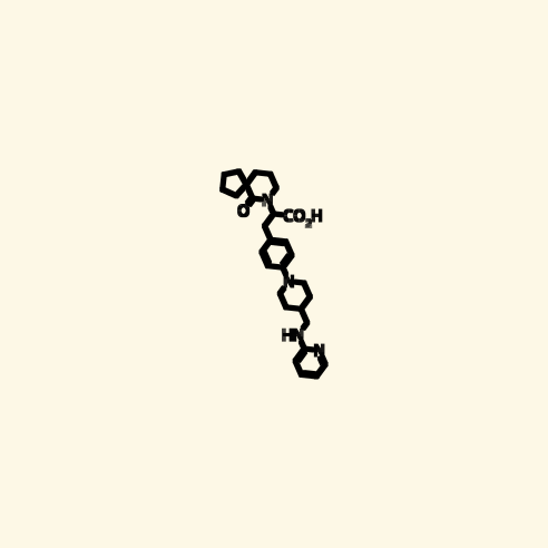 O=C(O)C(Cc1ccc(N2CCC(CNc3ccccn3)CC2)cc1)N1CCCC2(CCCC2)C1=O